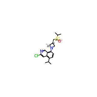 CC(C)c1ccc(N2C[C@H](C[S@+]([O-])C(C)C)[C@H]2C)c2cnc(Cl)cc12